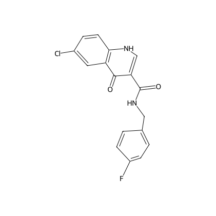 O=C(NCc1ccc(F)cc1)c1c[nH]c2ccc(Cl)cc2c1=O